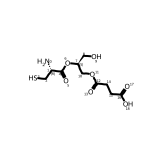 N[C@@H](CS)C(=O)O[C@@H](CO)COC(=O)CCC(=O)O